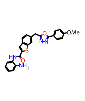 COc1ccc(-c2nnc(Cc3ccc4cc(C(=O)Nc5ccccc5N)sc4c3)o2)cc1